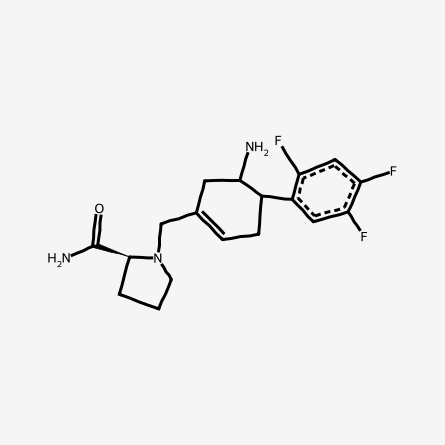 NC(=O)[C@@H]1CCCN1CC1=CCC(c2cc(F)c(F)cc2F)C(N)C1